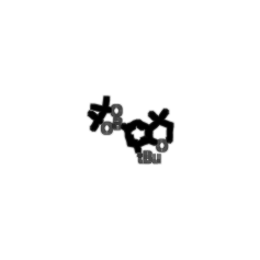 CC(C)(C)c1cc(B2OC(C)(C)C(C)(C)O2)cc2c1OCCC2(C)C